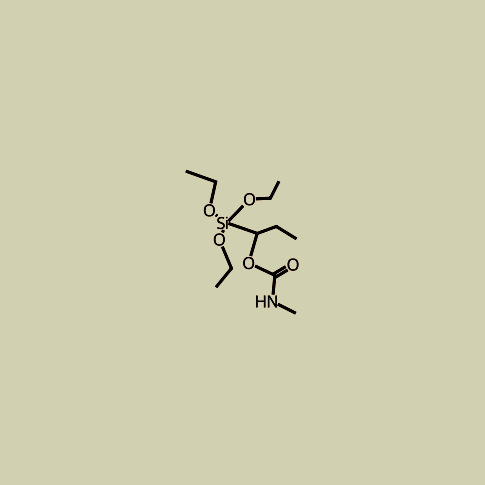 CCO[Si](OCC)(OCC)C(CC)OC(=O)NC